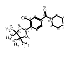 CC1(C)OB(c2ccc(C(=O)N3CCOCC3)cc2Cl)OC1(C)C